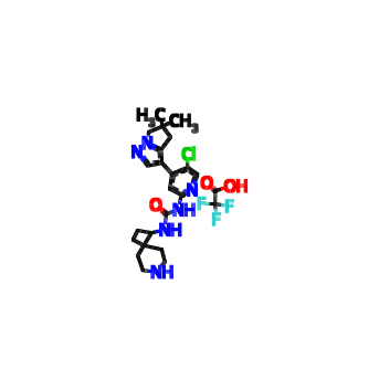 CC1(C)Cc2c(-c3cc(NC(=O)NC4CCC45CCNCC5)ncc3Cl)cnn2C1.O=C(O)C(F)(F)F